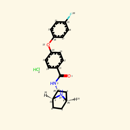 Cl.O=C(N[C@@H]1C[C@H]2CC[C@@H]1N2)c1ccc(Oc2ccc(F)cc2)cc1